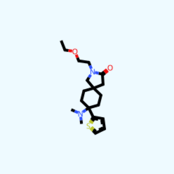 CCOCCN1CC2(CCC(c3cccs3)(N(C)C)CC2)CC1=O